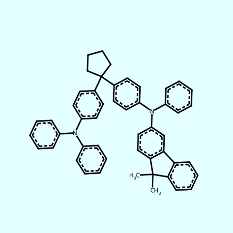 CC1(C)c2ccccc2-c2cc(N(c3ccccc3)c3ccc(C4(c5ccc(N(c6ccccc6)c6ccccc6)cc5)CCCC4)cc3)ccc21